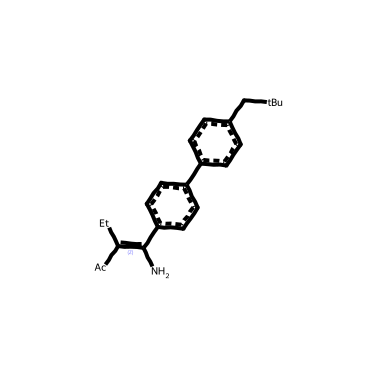 CC/C(C(C)=O)=C(/N)c1ccc(-c2ccc(CC(C)(C)C)cc2)cc1